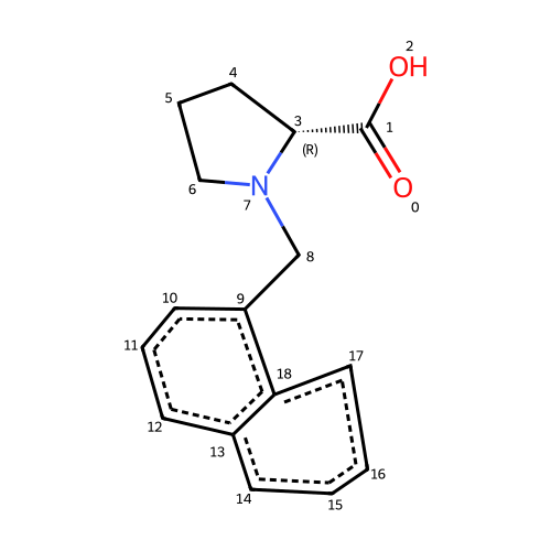 O=C(O)[C@H]1CCCN1Cc1cccc2ccccc12